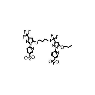 CCCCOc1cc(C(F)(F)F)nn1-c1ccc(S(C)(=O)=O)cn1.CCCOc1cc(C(F)(F)F)nn1-c1ccc(S(C)(=O)=O)cn1